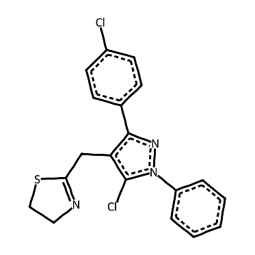 Clc1ccc(-c2nn(-c3ccccc3)c(Cl)c2CC2=NCCS2)cc1